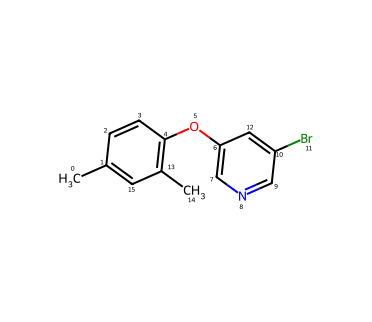 Cc1ccc(Oc2cncc(Br)c2)c(C)c1